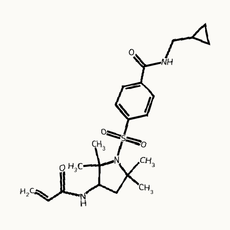 C=CC(=O)NC1CC(C)(C)N(S(=O)(=O)c2ccc(C(=O)NCC3CC3)cc2)C1(C)C